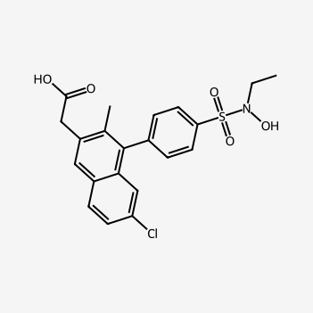 CCN(O)S(=O)(=O)c1ccc(-c2c(C)c(CC(=O)O)cc3ccc(Cl)cc23)cc1